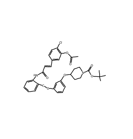 CC(=O)Oc1cc(/C=C/C(=O)Nc2ccccc2COc2cccc(OC3CCN(C(=O)OC(C)(C)C)CC3)c2)ccc1Cl